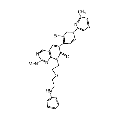 CCc1cc(-c2cncc(C)n2)ccc1-c1cc2cnc(NC)nc2n(CCOCCNc2ccccc2)c1=O